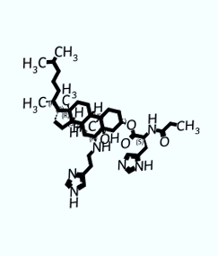 CCC(=O)N[C@@H](Cc1cnc[nH]1)C(=O)O[C@H]1CC[C@]2(C)[C@H]3CC[C@]4(C)[C@@H]([C@H](C)CCCC(C)C)CC[C@H]4[C@@H]3C[C@@H](NCCc3c[nH]cn3)[C@@]2(O)C1